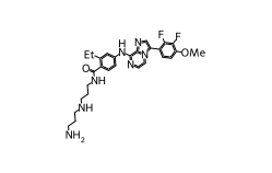 CCc1cc(Nc2nccn3c(-c4ccc(OC)c(F)c4F)cnc23)ccc1C(=O)NCCCNCCCN